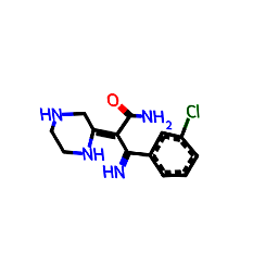 N=C(/C(C(N)=O)=C1/CNCCN1)c1cccc(Cl)c1